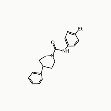 CCc1ccc(NC(=O)N2CCC(c3ccccc3)CC2)cc1